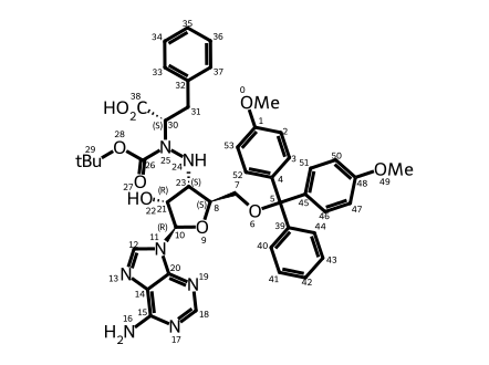 COc1ccc(C(OC[C@H]2O[C@@H](n3cnc4c(N)ncnc43)[C@H](O)[C@@H]2NN(C(=O)OC(C)(C)C)[C@@H](Cc2ccccc2)C(=O)O)(c2ccccc2)c2ccc(OC)cc2)cc1